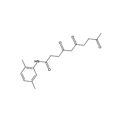 CC(=O)CCC(=O)CC(=O)CCC(=O)Nc1cc(C)ccc1C